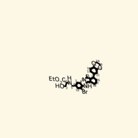 CCOC(=O)[C@H](CO)NCc1ccc(Nc2nsc3c(-c4ccc5c(c4)OCCO5)cccc23)c(Br)c1